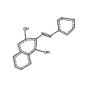 Oc1cc2ccccc2c(O)c1N=Nc1ccccc1